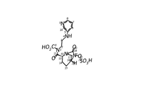 O=C(O)N(CCNc1cccnc1)C(=O)[C@@H]1CC[C@@H]2CN1C(=O)N2OS(=O)(=O)O